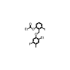 CCC(=O)Oc1cccc(I)c1COc1cc(F)c(C)cc1CC